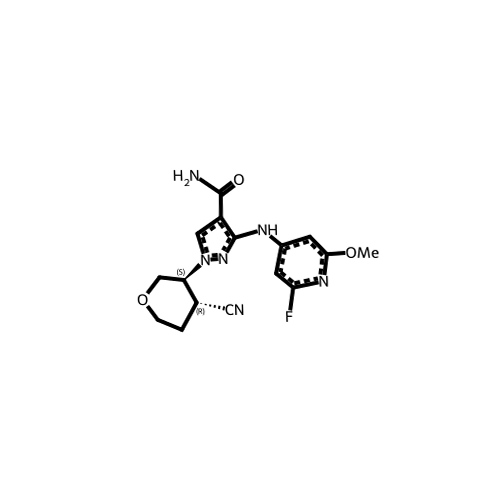 COc1cc(Nc2nn([C@@H]3COCC[C@H]3C#N)cc2C(N)=O)cc(F)n1